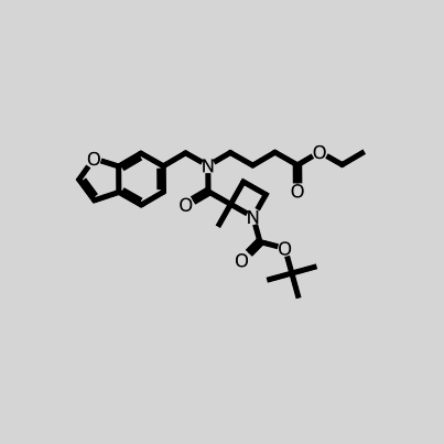 CCOC(=O)CCCN(Cc1ccc2ccoc2c1)C(=O)C1(C)CCN1C(=O)OC(C)(C)C